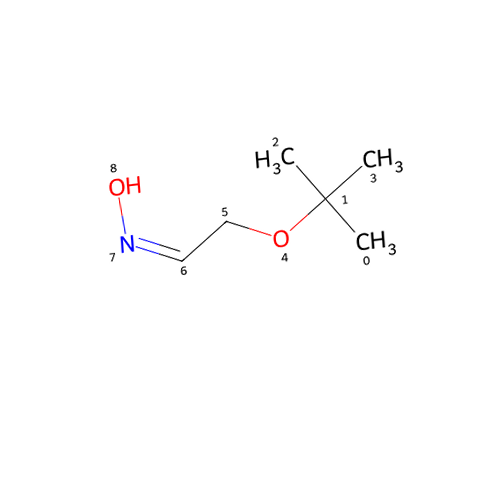 CC(C)(C)OC/C=N\O